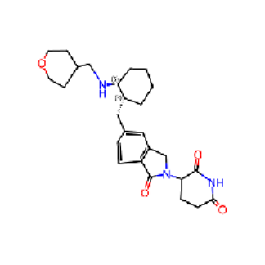 O=C1CCC(N2Cc3cc(C[C@H]4CCCC[C@@H]4NCC4CCOCC4)ccc3C2=O)C(=O)N1